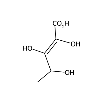 CC(O)C(O)=C(O)C(=O)O